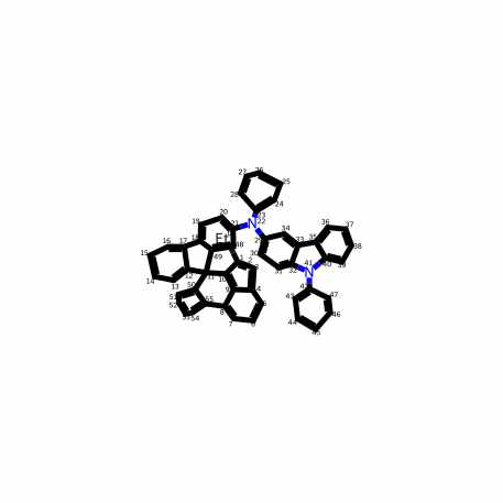 CCc1ccc2cccc3c2c1C1(c2ccccc2-c2ccc(N(c4ccccc4)c4ccc5c(c4)c4ccccc4n5-c4ccccc4)cc21)c1ccccc1-3